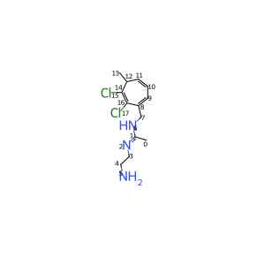 C/C(=N\CCN)NCC1=CC=CC(C)C(Cl)=C1Cl